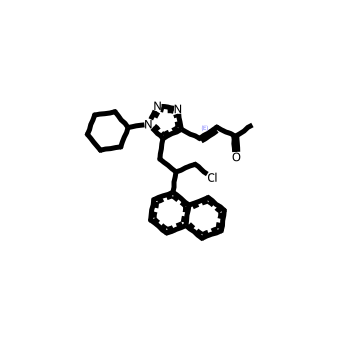 CC(=O)/C=C/c1nnn(C2CCCCC2)c1CC(CCl)c1cccc2ccccc12